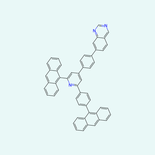 c1ccc2c(-c3ccc(-c4cc(-c5ccc(-c6ccc7cncnc7c6)cc5)cc(-c5c6ccccc6cc6ccccc56)n4)cc3)c3ccccc3cc2c1